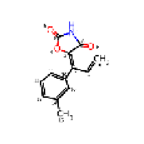 C=CC(=C1OC(=O)NC1=O)c1cccc(C)c1